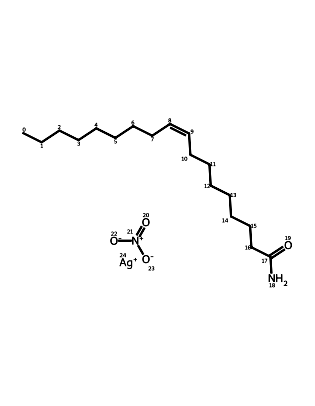 CCCCCCCC/C=C\CCCCCCCC(N)=O.O=[N+]([O-])[O-].[Ag+]